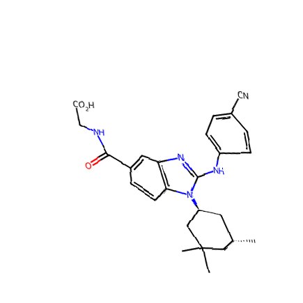 C[C@H]1C[C@H](n2c(Nc3ccc(C#N)cc3)nc3cc(C(=O)NCC(=O)O)ccc32)CC(C)(C)C1